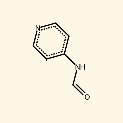 O=CNc1[c]cncc1